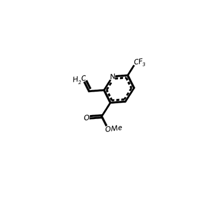 C=Cc1nc(C(F)(F)F)ccc1C(=O)OC